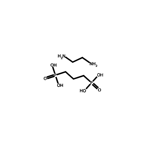 NCCN.O=P(O)(O)CCCP(=O)(O)O